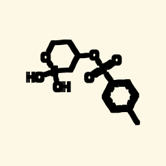 Cc1ccc(S(=O)(=O)OC2CCOS(O)(O)C2)cc1